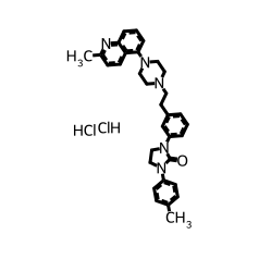 Cc1ccc(N2CCN(c3cccc(CCN4CCN(c5cccc6nc(C)ccc56)CC4)c3)C2=O)cc1.Cl.Cl